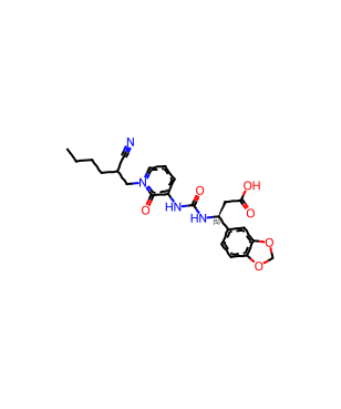 CCCCC(C#N)Cn1cccc(NC(=O)N[C@@H](CC(=O)O)c2ccc3c(c2)OCO3)c1=O